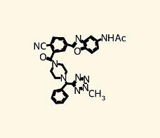 CC(=O)Nc1ccc2oc(-c3ccc(C#N)c(C(=O)N4CCN(C(c5ccccc5)c5nnn(C)n5)CC4)c3)nc2c1